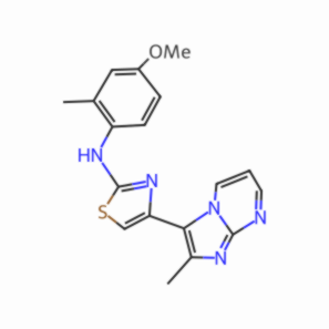 COc1ccc(Nc2nc(-c3c(C)nc4ncccn34)cs2)c(C)c1